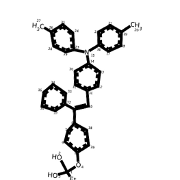 CCC(O)(O)Oc1ccc(/C(=C/c2ccc(N(c3ccc(C)cc3)c3ccc(C)cc3)cc2)c2ccccc2)cc1